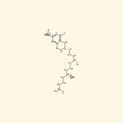 CNc1cc(C)c2c(c1)CC[C@@H](CCC[C@H](C)CCC[C@H](S)CCCC(C)C)C2